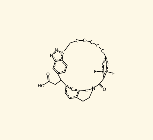 O=C(O)CC1c2ccc3c(c2)CN(CC3)C(=O)c2c(F)cc(cc2F)CCCCCCn2nnc3cc1ccc32